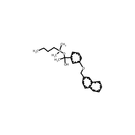 CCCC[Si](C)(C)OC(C)(O)c1cccc(OCc2ccc3ccccc3c2)c1